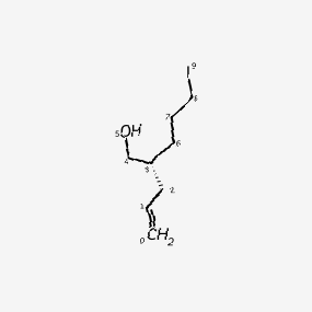 C=CC[C@H](CO)CCCI